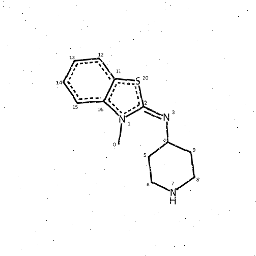 Cn1c(=NC2CCNCC2)sc2ccccc21